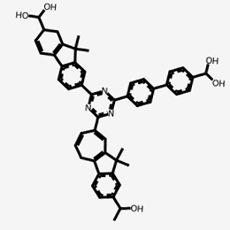 CC(O)c1ccc2c(c1)C(C)(C)C1=C2CC=CC(c2nc(-c3ccc(-c4ccc(C(O)O)cc4)cc3)nc(-c3ccc4c(c3)C(C)(C)C3=C4C=CC(C(O)O)C3)n2)=C1